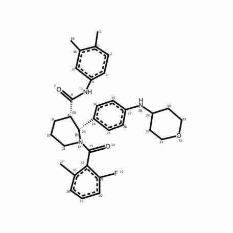 Cc1ccc(NC(=O)[C@H]2CCCN(C(=O)c3c(C)cccc3F)[C@H]2c2ccc(NC3CCOCC3)cc2)cc1C